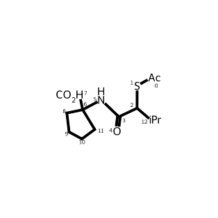 CC(=O)SC(C(=O)NC1(C(=O)O)CCCC1)C(C)C